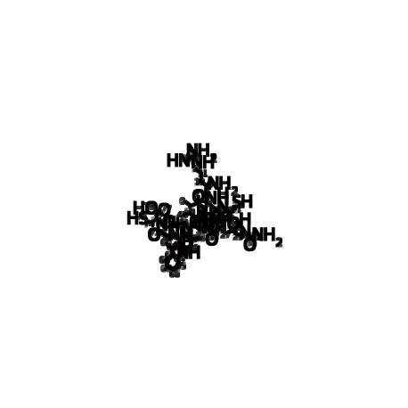 CCCC[C@H](NC(=O)[C@@H](N)CCCNC(=N)N)C(=O)N[C@@H](CS)C(=O)N[C@@H](CCCNC(N)=O)C(=O)N[C@H](Cc1ccccc1)C(=O)N[C@@H](CCCNC(=N)N)C(=O)N[C@H](Cc1c[nH]c2ccccc12)C(=O)N[C@@H](CS)C(=O)O